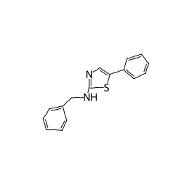 c1ccc(CNc2ncc(-c3ccccc3)s2)cc1